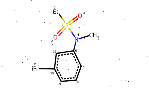 CCS(=O)(=O)N(C)c1cccc(C(C)C)c1